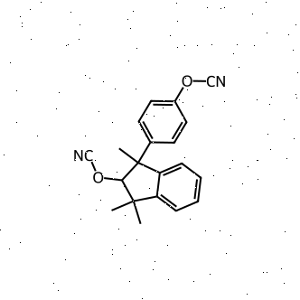 CC1(C)c2ccccc2C(C)(c2ccc(OC#N)cc2)C1OC#N